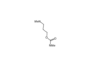 CNCCCOC(=O)NC